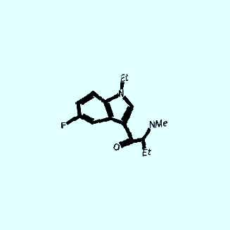 CCC(NC)C(=O)c1cn(CC)c2ccc(F)cc12